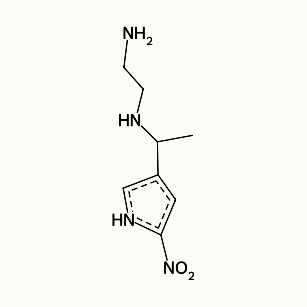 CC(NCCN)c1c[nH]c([N+](=O)[O-])c1